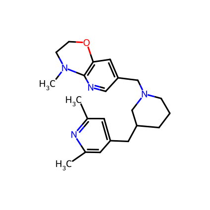 Cc1cc(CC2CCCN(Cc3cnc4c(c3)OCCN4C)C2)cc(C)n1